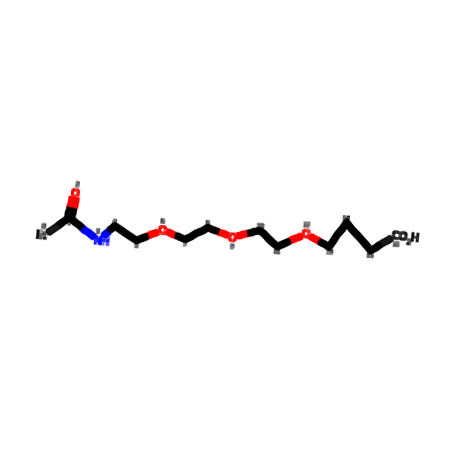 CCC(=O)NCCOCCOCCOCCCC(=O)O